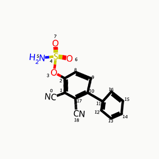 N#Cc1c(OS(N)(=O)=O)ccc(-c2ccccc2)c1C#N